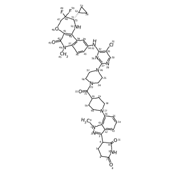 Cn1nc(C2CCC(=O)NC2=O)c2cccc(N3CCC(C(=O)N4CCN(c5ncc(Cl)c(Nc6ccc7c(c6)c6c(c(=O)n7C)OCC(F)(F)[C@H](C7CC7)N6)n5)CC4)CC3)c21